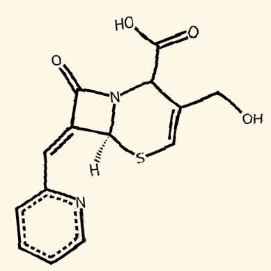 O=C(O)C1C(CO)=CS[C@H]2/C(=C\c3ccccn3)C(=O)N12